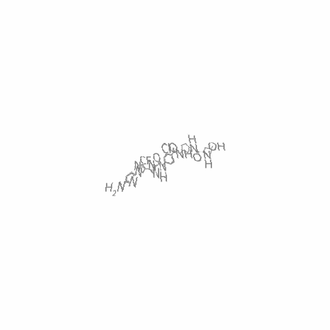 Cn1c(-c2cn(-c3ccc(N)cn3)nc2C(F)(F)F)cnc1C(=O)Nc1ccc(C(=O)N[C@H]2CC[C@H](NC(=O)[C@@H]3C[C@@H](O)CN3)C2)c(Cl)c1